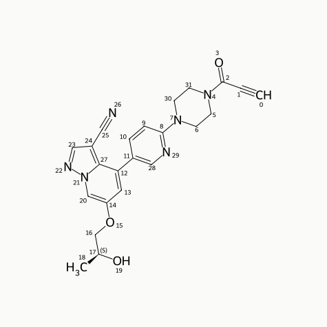 C#CC(=O)N1CCN(c2ccc(-c3cc(OC[C@H](C)O)cn4ncc(C#N)c34)cn2)CC1